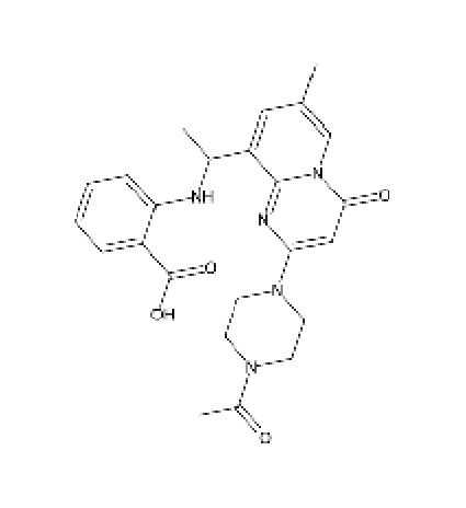 CC(=O)N1CCN(c2cc(=O)n3cc(C)cc(C(C)Nc4ccccc4C(=O)O)c3n2)CC1